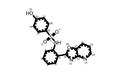 O=S(=O)(Nc1ccccc1-c1nc2ncccc2o1)c1ccc(O)cc1